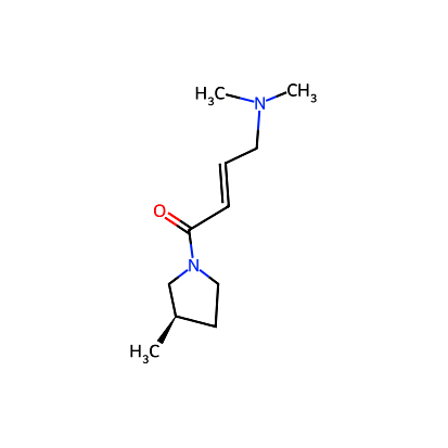 C[C@@H]1CCN(C(=O)/C=C/CN(C)C)C1